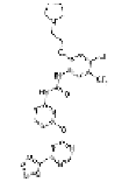 O=C(Nc1cccc(Oc2cc(-c3nnco3)ncn2)c1)Nc1cc(C(F)(F)F)c(Cl)cc1OCCN1CCCC1